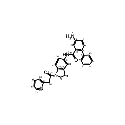 Nc1ccc(-c2ccccc2)c(C(=O)Nc2ccc3c(c2)CCN3C(=O)Cc2ccccn2)c1